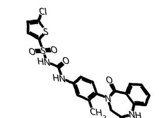 Cc1cc(NC(=O)NS(=O)(=O)c2ccc(Cl)s2)ccc1N1CC(=O)Nc2ccccc2C1=O